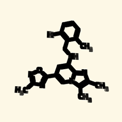 CCc1cccc(C)c1CNc1cc(-c2nc(C)no2)cn2c(C)c(C)nc12